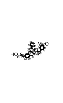 COc1cccc(CC(=O)N[C@@H](Cc2ccc(NS(=O)(=O)O)cc2)c2csc(C3=CCCS3)n2)c1